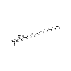 CCCCCCCCCCCCCCCC/C=C/OC(=O)OCC(C)C